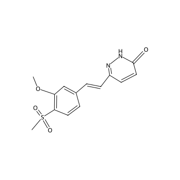 COc1cc(C=Cc2ccc(=O)[nH]n2)ccc1S(C)(=O)=O